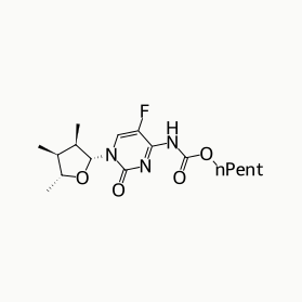 CCCCCOC(=O)Nc1nc(=O)n([C@@H]2O[C@H](C)[C@@H](C)[C@H]2C)cc1F